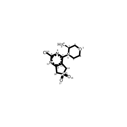 C[C@H]1COCCN1c1nc(Cl)nc2c1CS(=O)(=O)C2